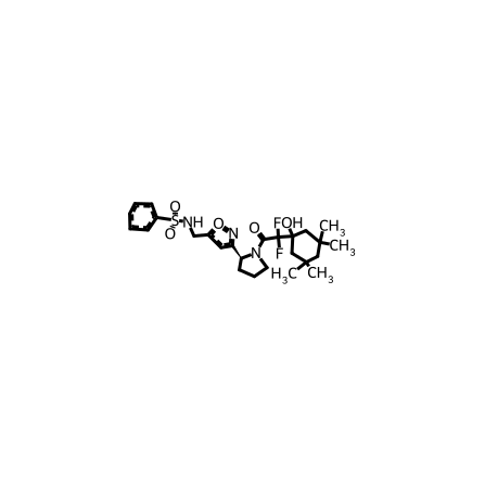 CC1(C)CC(C)(C)CC(O)(C(F)(F)C(=O)N2CCC[C@H]2c2cc(CNS(=O)(=O)c3ccccc3)on2)C1